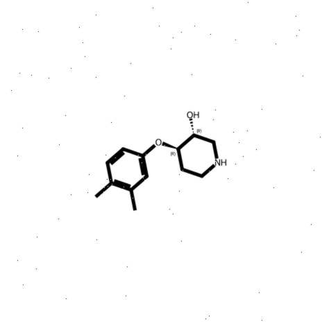 Cc1ccc(O[C@@H]2CCNC[C@H]2O)cc1C